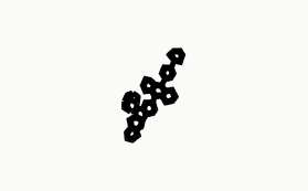 c1ccc(-c2ccc(-c3c4ccccc4c(-c4ccc5c(c4)C4(c6cc7ccccc7cc6-5)C5CC6CC(C5)CC4C6)c4ccccc34)cc2)cc1